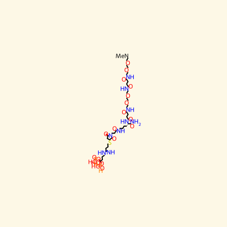 CNCCOCCOCCNC(=O)CCC(=O)NCCOCCOCCNC(=O)CCC(=O)N[C@@H](CCCCNC(=O)CCN1C(=O)CC(SCCCC(=N)NCCCC(O)(O[PH](=O)O)O[PH](=O)O)C1=O)C(N)=O